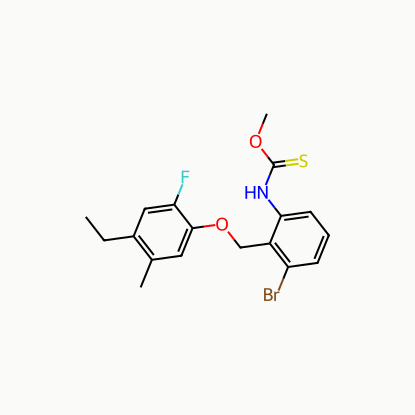 CCc1cc(F)c(OCc2c(Br)cccc2NC(=S)OC)cc1C